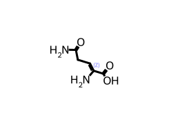 NC(=O)C/C=C(\N)C(=O)O